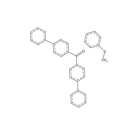 COc1ccccc1.O=C(c1ccc(-c2ccccc2)cc1)c1ccc(-c2ccccc2)cc1